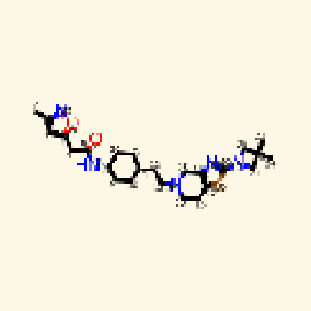 Cc1cc(CC(=O)N[C@H]2CC[C@H](CCN3CCc4sc(N5CC(C)(C)C5)nc4C3)CC2)on1